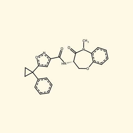 CN1C(=O)[C@@H](NC(=O)c2cc(C3(c4ccccc4)CC3)on2)COc2ccccc21